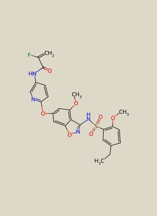 C=C(F)C(=O)Nc1ccc(Oc2cc(OC)c3c(NS(=O)(=O)c4cc(CC)ccc4OC)noc3c2)nc1